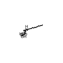 CCCCCCCCCCCCCCCCNc1csc(C(=O)NCC(=O)O)c1